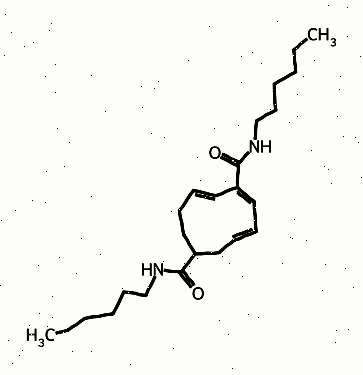 CCCCCCNC(=O)C1=C/C=C/CC(C(=O)NCCCCCC)CC\C=C\1